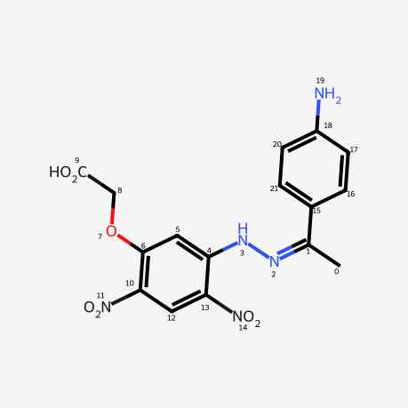 CC(=NNc1cc(OCC(=O)O)c([N+](=O)[O-])cc1[N+](=O)[O-])c1ccc(N)cc1